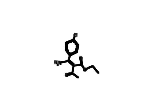 CCOC(=O)/C(C(C)=O)=C(/N)c1ccc(Cl)cc1